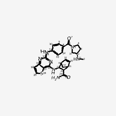 CN[C@@H]1CCN(C(=O)c2ccc(Nc3nc(NC4C5C=CC(C5)C4C(N)=O)c4sccc4n3)cc2)C1